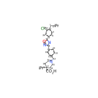 CC(C)Cc1ccc(-c2nc(-c3ccc(CN4CCC(C(=O)O)(C(C)C)CC4)cc3)no2)cc1Cl